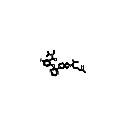 CCN(C(=O)c1cc(F)ccc1Oc1nncnc1N1CCC2(C1)CN(C(CCCNC)C(C)C)C2)C(C)C